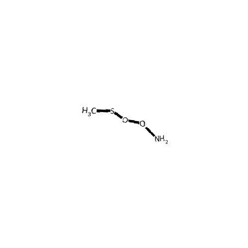 CSOON